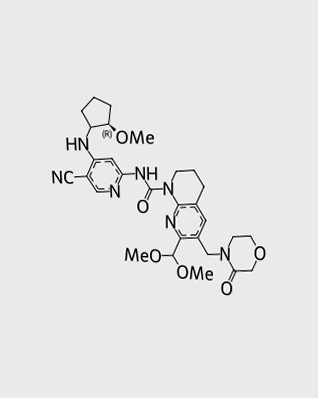 COC(OC)c1nc2c(cc1CN1CCOCC1=O)CCCN2C(=O)Nc1cc(NC2CCC[C@H]2OC)c(C#N)cn1